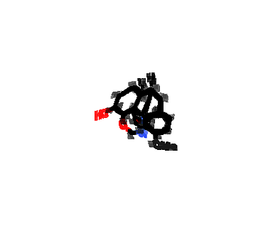 COc1ccc2c(c1)[C@@]13CCN4COC1C(O)CC[C@H]3[C@H]4C2